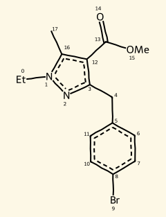 CCn1nc(Cc2ccc(Br)cc2)c(C(=O)OC)c1C